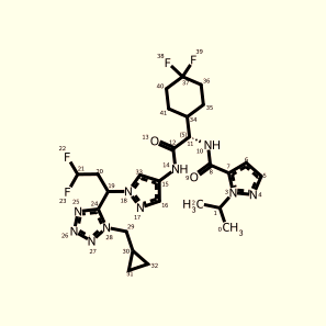 CC(C)n1nccc1C(=O)N[C@H](C(=O)Nc1cnn(C(CC(F)F)c2nnnn2CC2CC2)c1)C1CCC(F)(F)CC1